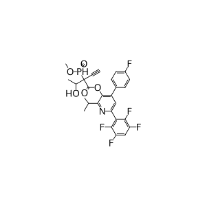 C#CC(C(=O)Oc1c(-c2ccc(F)cc2)cc(-c2c(F)c(F)cc(F)c2F)nc1C(C)C)(C(C)O)[PH](=O)OC